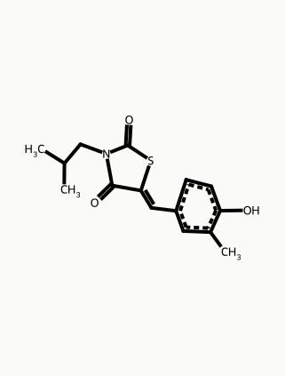 Cc1cc(/C=C2\SC(=O)N(CC(C)C)C2=O)ccc1O